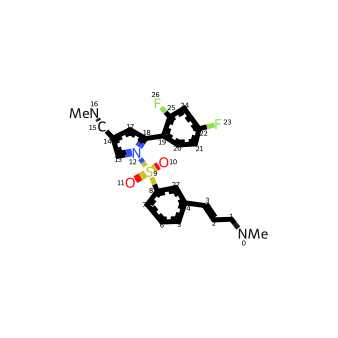 CNC/C=C/c1cccc(S(=O)(=O)n2cc(CNC)cc2-c2ccc(F)cc2F)c1